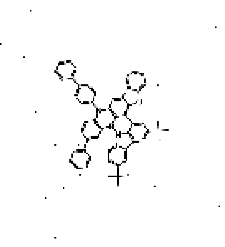 CC(C)(C)c1ccc2c(c1)c1cc(C(C)(C)C)cc3c1n2B1c2cc(-c4ccccc4)ccc2N(c2ccc(-c4ccccc4)cc2)c2cc4c(oc5ccccc54)c-3c21